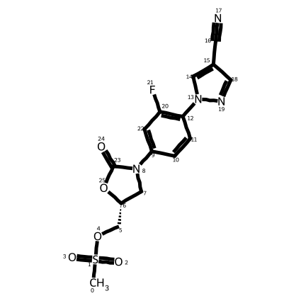 CS(=O)(=O)OC[C@H]1CN(c2ccc(-n3cc(C#N)cn3)c(F)c2)C(=O)O1